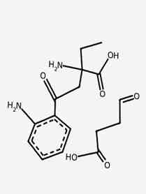 CCC(N)(CC(=O)c1ccccc1N)C(=O)O.O=CCCC(=O)O